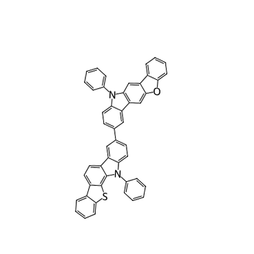 c1ccc(-n2c3ccc(-c4ccc5c(c4)c4ccc6c7ccccc7sc6c4n5-c4ccccc4)cc3c3cc4oc5ccccc5c4cc32)cc1